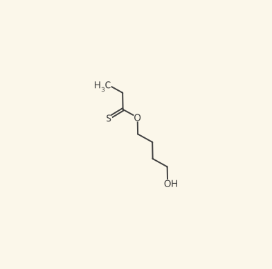 CCC(=S)OCCCCO